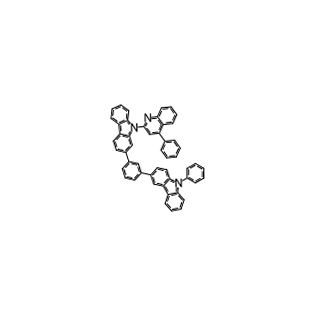 c1ccc(-c2cc(-n3c4ccccc4c4ccc(-c5cccc(-c6ccc7c(c6)c6ccccc6n7-c6ccccc6)c5)cc43)nc3ccccc23)cc1